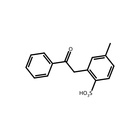 Cc1ccc(S(=O)(=O)O)c(CC(=O)c2ccccc2)c1